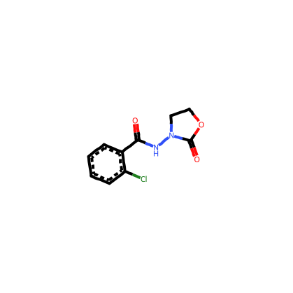 O=C(NN1CCOC1=O)c1ccccc1Cl